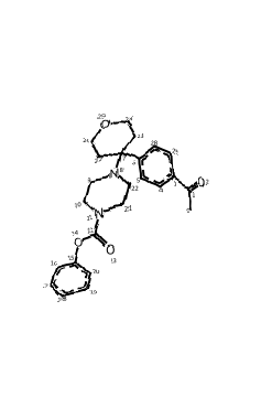 CC(=O)c1ccc(C2(N3CCN(C(=O)Oc4ccccc4)CC3)CCOCC2)cc1